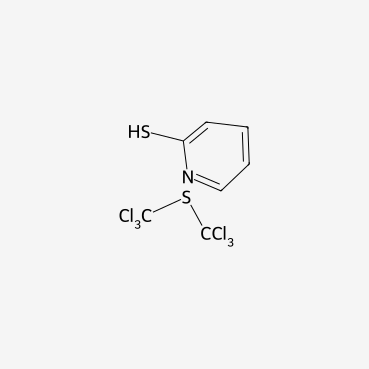 ClC(Cl)(Cl)SC(Cl)(Cl)Cl.Sc1ccccn1